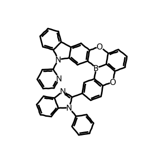 c1ccc(-n2c(-c3ccc4c(c3)B3c5cc6c(cc5Oc5cccc(c53)O4)c3ccccc3n6-c3ccccn3)nc3ccccc32)cc1